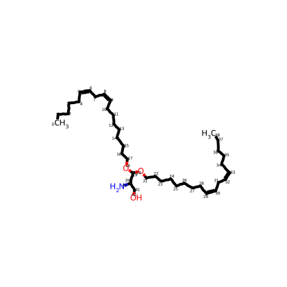 CCCCC/C=C\C/C=C\CCCCCCCCOC(OCCCCCCCC/C=C\C/C=C\CCCCC)C(N)CO